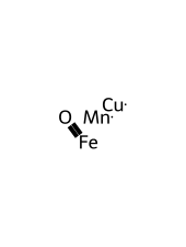 [Cu].[Mn].[O]=[Fe]